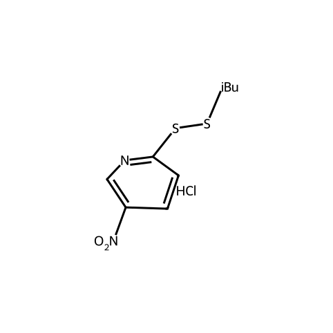 CCC(C)SSc1ccc([N+](=O)[O-])cn1.Cl